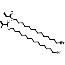 C=C(C)C(=O)OCCCCCCCCCCCCCCC(C)C.C=CC(=O)OCCCCCCCCCCCCCCC(C)C